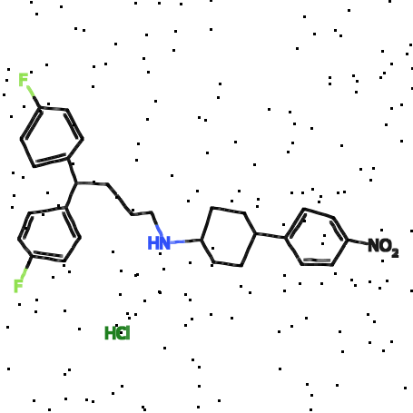 Cl.O=[N+]([O-])c1ccc(C2CCC(NCCCC(c3ccc(F)cc3)c3ccc(F)cc3)CC2)cc1